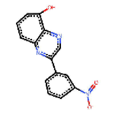 O=[N+]([O-])c1cccc(-c2cnc3c(O)cccc3n2)c1